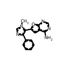 Cn1cnc(-c2ccccc2)c1-c1cc2c(N)ncnc2o1